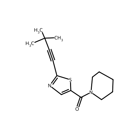 CC(C)(C)C#Cc1ncc(C(=O)N2CCCCC2)s1